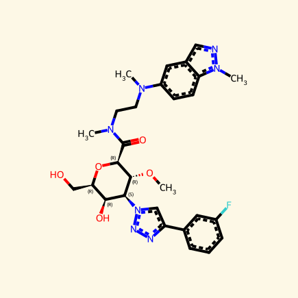 CO[C@@H]1[C@@H](n2cc(-c3cccc(F)c3)nn2)[C@@H](O)[C@@H](CO)O[C@H]1C(=O)N(C)CCN(C)c1ccc2c(cnn2C)c1